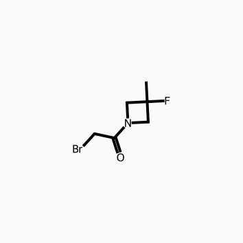 CC1(F)CN(C(=O)CBr)C1